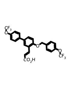 O=C(O)C=Cc1cc(-c2ccc(OC(F)(F)F)cc2)ccc1OCc1ccc(OC(F)(F)F)cc1